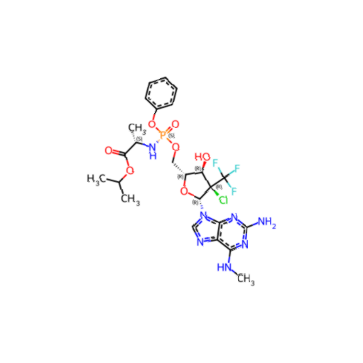 CNc1nc(N)nc2c1ncn2[C@@H]1O[C@H](CO[P@@](=O)(N[C@@H](C)C(=O)OC(C)C)Oc2ccccc2)[C@@H](O)[C@]1(Cl)C(F)(F)F